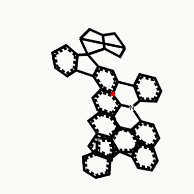 c1ccc(-c2cccc3cccc(-c4ccccc4N(c4ccccc4-c4ccc5c(c4)C4(c6ccccc6-5)C5CC6CC5CC64)c4ccccc4-c4cccc5c4sc4ccccc45)c23)cc1